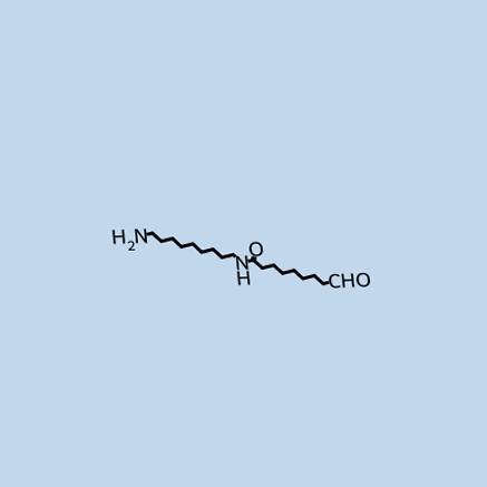 NCCCCCCCCCNC(=O)CCCCCCCC=O